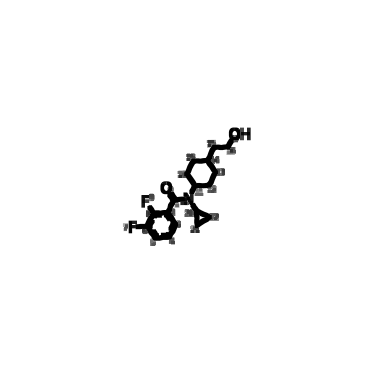 O=C(c1cccc(F)c1F)N(C1CCC(CCO)CC1)C1CC1